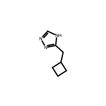 [c]1nnc(CC2CCC2)[nH]1